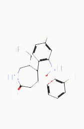 CC(C)C[C@@H]1CNC(=O)C[C@@H](c2cccc(Cl)c2)[C@@]12C(=O)Nc1cc(Cl)ccc12